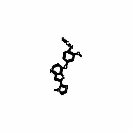 COc1cc(Oc2ccnc3cc(-c4nccn4C)sc23)ccc1N=C=S